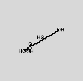 O=C(CCCCCCCC(O)CCCCCCCCCO)OC[C@H](O)CO